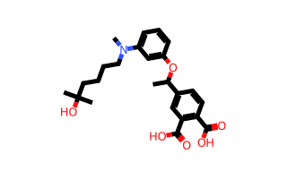 CC(Oc1cccc(N(C)CCCCC(C)(C)O)c1)c1ccc(C(=O)O)c(C(=O)O)c1